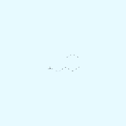 BCC1CCCCC1